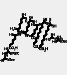 CCCCCC(N)CCCCC(S)S.CCCCCC(N)CCCCC(S)S.O=C(O)CCCCC(S)S.O=C(O)CCCCC(S)S.O=C(O)CCCCCCCCCC(S)S.O=C(O)CCCCCCCCCC(S)S.[CH2]CCCCC(S)S.[CH2]CCCCC(S)S.[CH2]CCCCCCCCCC(S)S.[CH2]CCCCCCCCCC(S)S